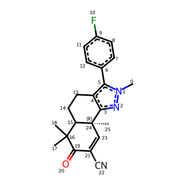 Cn1nc2c(c1-c1ccc(F)cc1)CCC1C(C)(C)C(=O)C(C#N)=C[C@]21C